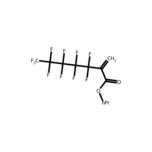 C=C(C(=O)OCCC)C(F)(F)C(F)(F)C(F)(F)C(F)(F)C(F)(F)F